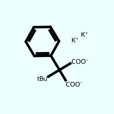 CC(C)(C)C(C(=O)[O-])(C(=O)[O-])c1ccccc1.[K+].[K+]